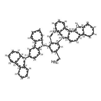 N=Cc1cc(-n2c3ccccc3c3cc(-n4c5ccccc5c5ccccc54)ccc32)c(C=N)c(-n2c3ccccc3c3c4oc5ccccc5c4ccc32)c1